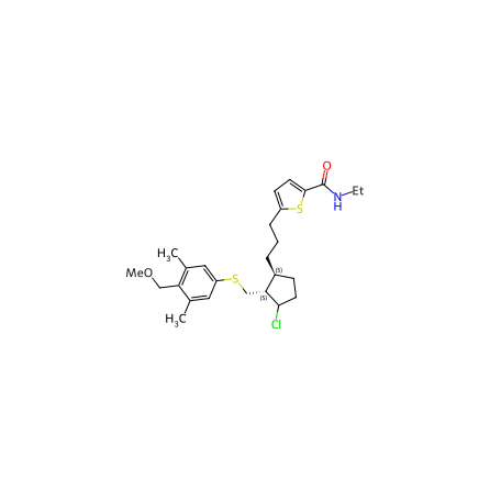 CCNC(=O)c1ccc(CCC[C@H]2CCC(Cl)[C@@H]2CSc2cc(C)c(COC)c(C)c2)s1